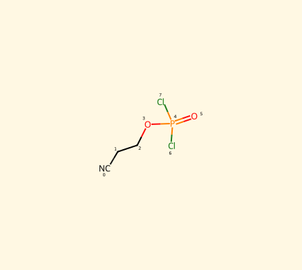 N#CCCOP(=O)(Cl)Cl